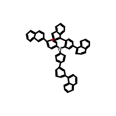 c1cc(-c2ccc(N(c3ccc(-c4ccc5ccccc5c4)cc3)c3cc(-c4cccc5ccccc45)ccc3-c3cccc4ccccc34)cc2)cc(-c2cccc3ccccc23)c1